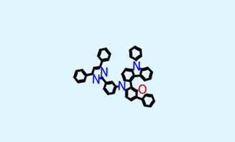 c1ccc(-c2cc(-c3ccccc3)nc(-c3cccc(-n4c5ccc6c7ccccc7oc6c5c5c6c7ccccc7n(-c7ccccc7)c6ccc54)c3)n2)cc1